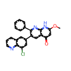 COc1cc(=O)c2cc(-c3cc(Cl)c4ncccc4c3)c(-c3ccccc3)nc2[nH]1